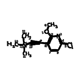 COc1nc(Cl)ccc1C#C[Si](C)(C)C